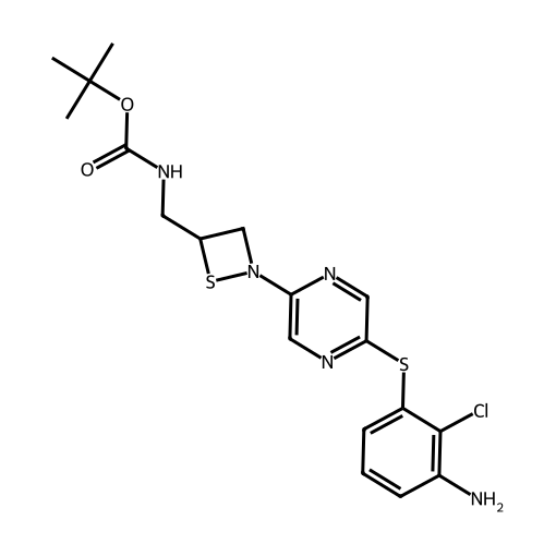 CC(C)(C)OC(=O)NCC1CN(c2cnc(Sc3cccc(N)c3Cl)cn2)S1